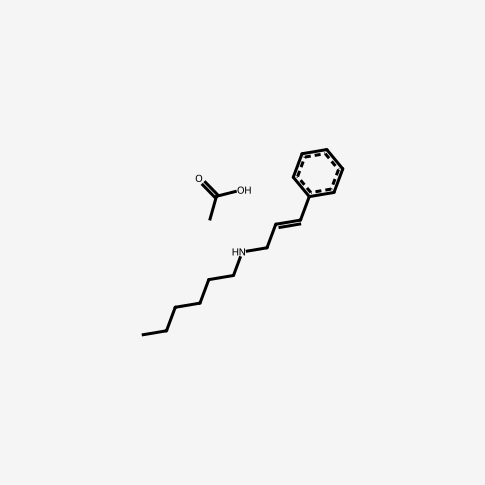 CC(=O)O.CCCCCCNCC=Cc1ccccc1